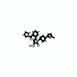 Cc1ccc(-c2ccc(N3C(=O)C(O)=CC3c3cccnc3C(=O)N3CCCC3)cc2)s1